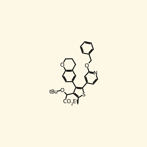 CCOC(=O)C(OC(C)(C)C)c1c(C)sc(-c2ccnc(OCc3ccccc3)c2)c1-c1ccc2c(c1)CCCO2